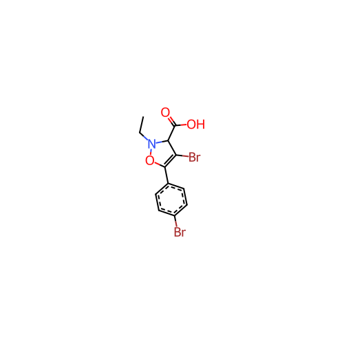 CCN1OC(c2ccc(Br)cc2)=C(Br)C1C(=O)O